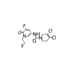 O=C(Nc1cc(F)c(=O)n(CCF)c1)N1CCC(Cl)=C(Cl)C1